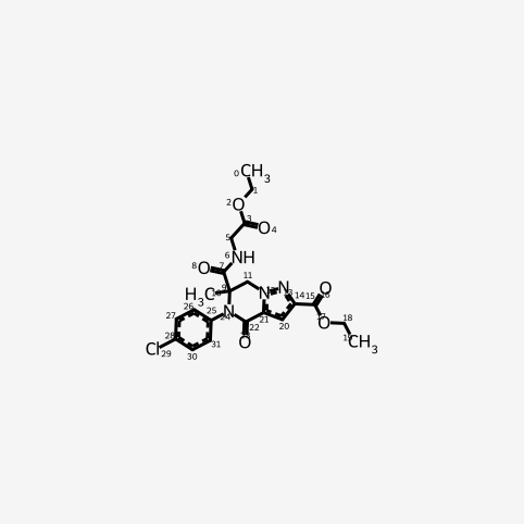 CCOC(=O)CNC(=O)C1(C)Cn2nc(C(=O)OCC)cc2C(=O)N1c1ccc(Cl)cc1